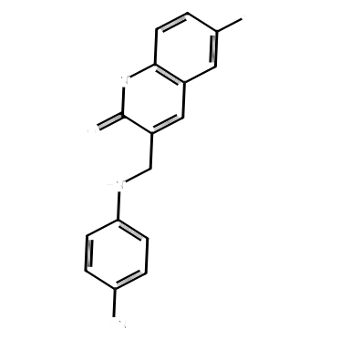 N#Cc1ccc(NCc2cc3cc(Cl)ccc3[nH]c2=O)cc1